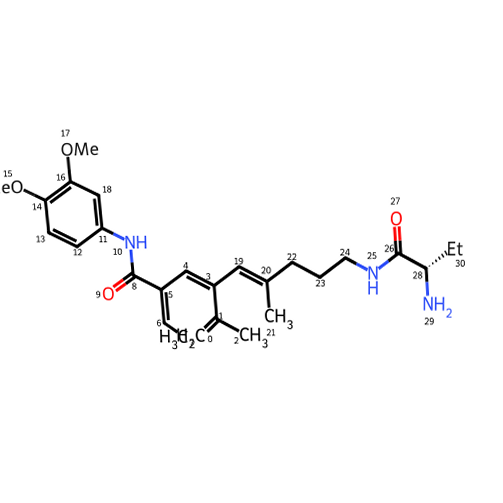 C=C(C)C(=C\C(=C/C)C(=O)Nc1ccc(OC)c(OC)c1)/C=C(\C)CCCNC(=O)[C@@H](N)CC